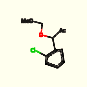 COCOC(C(C)=O)c1ccccc1Cl